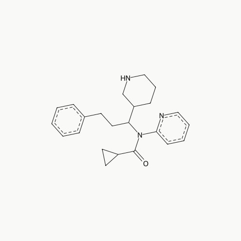 O=C(C1CC1)N(c1ccccn1)C(CCc1ccccc1)C1CCCNC1